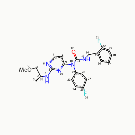 COC[C@H](C)Nc1nccc(N(C(=O)NCc2ccccc2F)c2ccc(F)cc2)n1